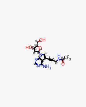 Nc1ncnc2c1c(C#CCNC(=O)C(F)(F)F)cn2[C@H]1C[C@@H](O)[C@@H](CO)O1